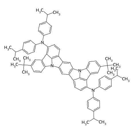 CC(C)c1ccc(N(c2ccc(C(C)C)cc2)c2ccc3c4cc5c(cc4n4c6ccc(C(C)(C)C)cc6c2c34)c2ccc(N(c3ccc(C(C)C)cc3)c3ccc(C(C)C)cc3)c3c4cc(C(C)(C)C)ccc4n5c23)cc1